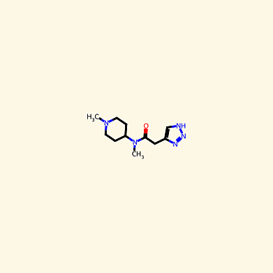 CN1CCC(N(C)C(=O)Cc2c[nH]nn2)CC1